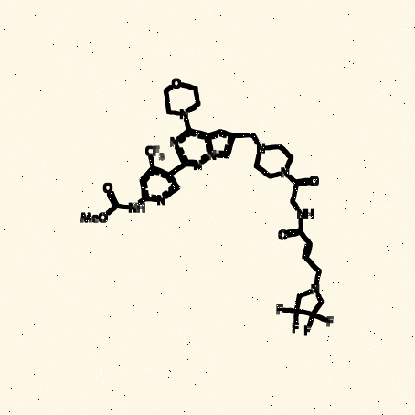 COC(=O)Nc1cc(C(F)(F)F)c(-c2nc(N3CCOCC3)c3cc(CN4CCN(C(=O)CNC(=O)/C=C/CN5CC(F)(F)C(F)(F)C5)CC4)cn3n2)cn1